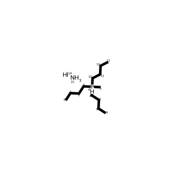 CCCC[PH](C)(CCCC)CCCC.I.N